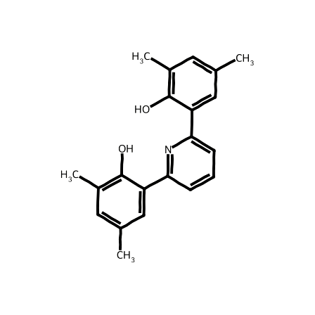 Cc1cc(C)c(O)c(-c2cccc(-c3cc(C)cc(C)c3O)n2)c1